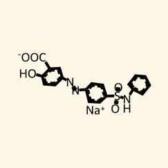 O=C([O-])c1cc(N=Nc2ccc(S(=O)(=O)Nc3ccccc3)cc2)ccc1O.[Na+]